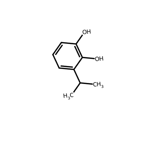 CC(C)c1cccc(O)c1O